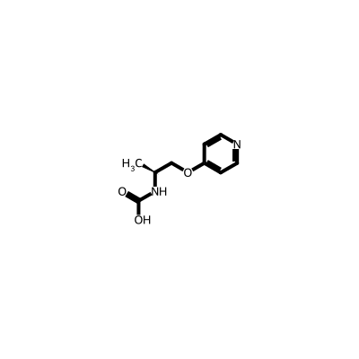 C[C@@H](COc1ccncc1)NC(=O)O